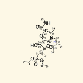 CCOP(=O)(C[C@@H](C)[C@H]1O[C@@H](N(/C=C(/C)C(C)=O)C(C)=O)[C@H](OCC(=O)NC)[C@@H]1O)OCC